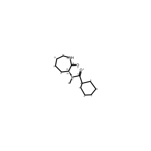 CN(C(=O)C1CCCCC1)[C@H]1CCCCNC1=O